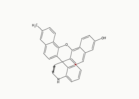 Cc1ccc2c3c(ccc2c1)C1(c2ccccc2Nc2ccccc21)c1ccc2cc(O)ccc2c1O3